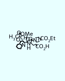 CCOC(=O)N1CCN(C(=O)C(CCC(=O)O)NC(=O)c2cc(OC(C)(C)C(=O)OC)c3ccccc3n2)CC1